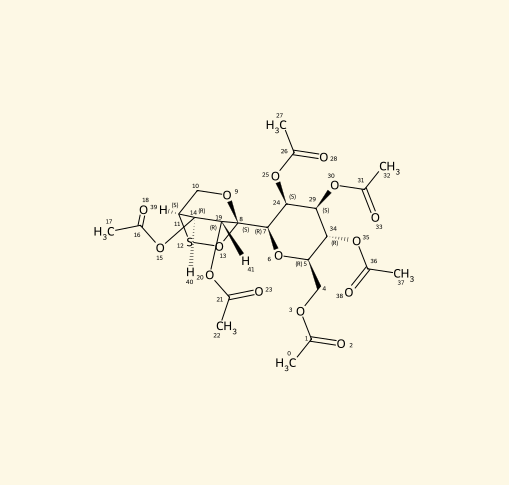 CC(=O)OC[C@H]1O[C@@H]([C@]23OC[C@H](SO2)[C@H](OC(C)=O)[C@H]3OC(C)=O)[C@@H](OC(C)=O)[C@@H](OC(C)=O)[C@@H]1OC(C)=O